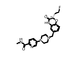 CNC(=O)c1ccc(N2CCN(Cc3ccc4c(c3)NC(=O)[C@H](CCF)O4)CC2)cn1